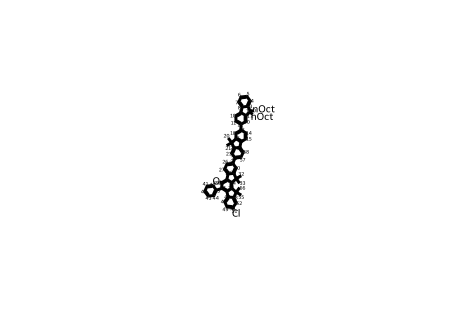 CCCCCCCCC1(CCCCCCCC)c2ccccc2-c2ccc(-c3ccc4c(c3)C(C)(C)c3cc(-c5ccc6c(c5)C(C)(C)c5c7c(c8c(oc9ccccc98)c5-6)-c5ccc(Cl)cc5C7(C)C)ccc3-4)cc21